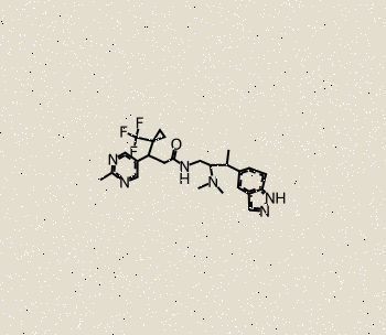 Cc1ncc(C(CC(=O)NCC(C(C)c2ccc3[nH]ncc3c2)N(C)C)C2(C(F)(F)F)CC2)cn1